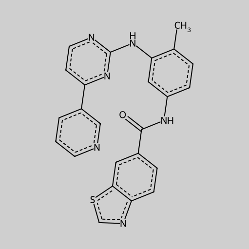 Cc1ccc(NC(=O)c2ccc3ncsc3c2)cc1Nc1nccc(-c2cccnc2)n1